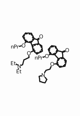 CCCOc1cccc2c1-c1c(OCCCN(CC)CC)cccc1C2=O.CCCOc1cccc2c1-c1c(OCCN3CCCC3)cccc1C2=O